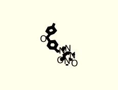 Cc1ccc(C(=O)c2ccc(Cn3cnc4c3c(=O)n(C)c(=O)n4C)cc2)cc1